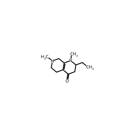 CCC1CC(=O)C2=C(CN(C)CC2)N1C